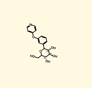 OCC1OC(c2cccc(Oc3ccncc3)c2)[C@@H](O)[C@@H](O)[C@@H]1O